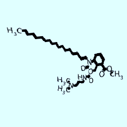 CCCCCCCCCCCCCCCCCCN(C=O)C1CC=CC(C(=O)OC)C1COC(=O)NCCCN(C)C